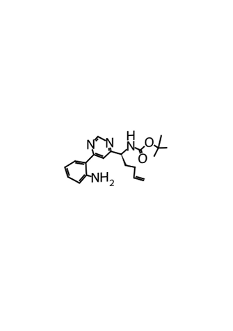 C=CCC[C@H](NC(=O)OC(C)(C)C)c1cc(-c2ccccc2N)ncn1